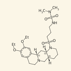 CCOc1cc2c(cc1OCC)[C@@H]1C[C@H]3[C@H](CCCN3S(=O)(=O)CCCNS(=O)(=O)N(C)C)CN1CC2